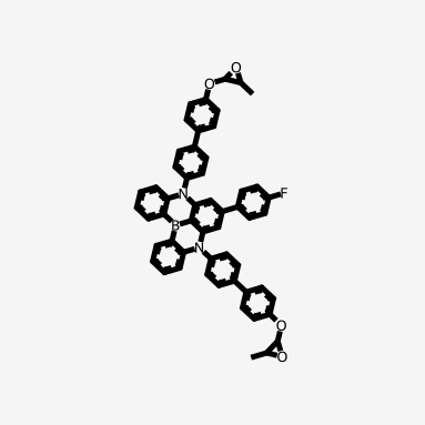 CC1OC1Oc1ccc(-c2ccc(N3c4ccccc4B4c5ccccc5N(c5ccc(-c6ccc(OC7OC7C)cc6)cc5)c5cc(-c6ccc(F)cc6)cc3c54)cc2)cc1